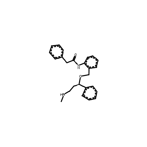 CNCCC(OCc1ccccc1NC(=O)Cc1ccccc1)c1ccccc1